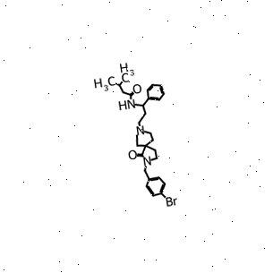 CC(C)CC(=O)NC(CCN1CCC2(CC1)CCN(Cc1ccc(Br)cc1)C2=O)c1ccccc1